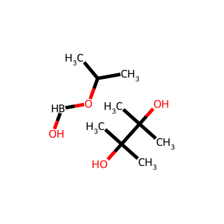 CC(C)(O)C(C)(C)O.CC(C)OBO